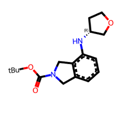 CC(C)(C)OC(=O)N1Cc2cccc(N[C@@H]3CCOC3)c2C1